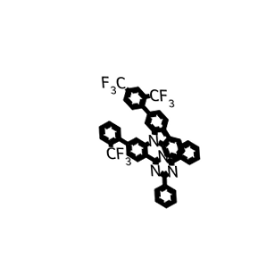 FC(F)(F)c1ccc(-c2ccc3c4ccccc4n(-c4cc(-c5ccccc5C(F)(F)F)ccc4-c4nc(-c5ccccc5)nc(-c5ccccc5)n4)c3c2)c(C(F)(F)F)c1